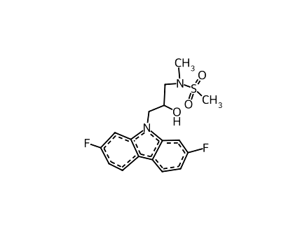 CN(CC(O)Cn1c2cc(F)ccc2c2ccc(F)cc21)S(C)(=O)=O